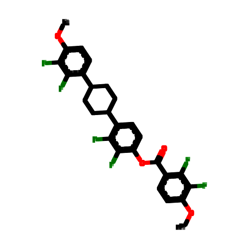 CCCOc1ccc(C(=O)Oc2ccc(C3CCC(c4ccc(OCC)c(F)c4F)CC3)c(F)c2F)c(F)c1F